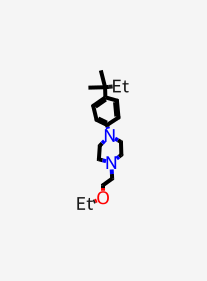 CCOCCN1CCN(c2ccc(C(C)(C)CC)cc2)CC1